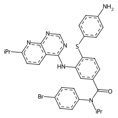 CC(C)c1ccc2c(Nc3cc(C(=O)N(c4ccc(Br)cc4)C(C)C)ccc3Sc3ccc(N)cc3)ncnc2n1